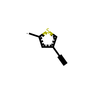 C#Cc1csc([CH2])c1